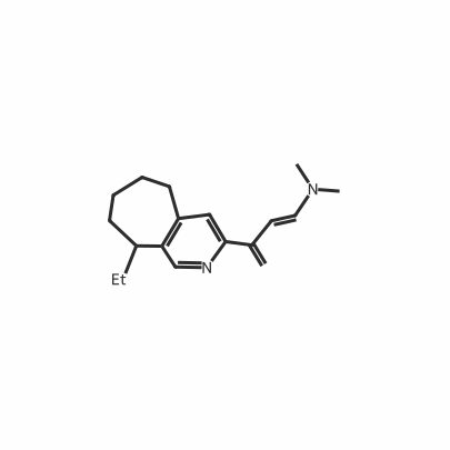 C=C(/C=C/N(C)C)c1cc2c(cn1)C(CC)CCCC2